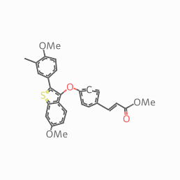 COC(=O)C=Cc1ccc(Oc2c(-c3ccc(OC)c(C)c3)sc3cc(OC)ccc23)cc1